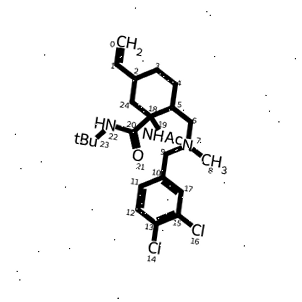 C=CC1CCC(CN(C)Cc2ccc(Cl)c(Cl)c2)C(NC(C)=O)(C(=O)NC(C)(C)C)C1